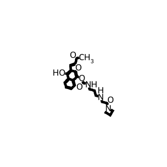 CC(=O)c1cc2c(O)c3ccccc3c(OC(=O)NCCCNCC(=O)N3CCC3)c2o1